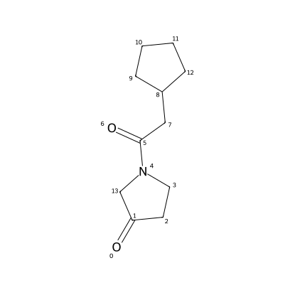 O=C1CCN(C(=O)CC2CCCC2)C1